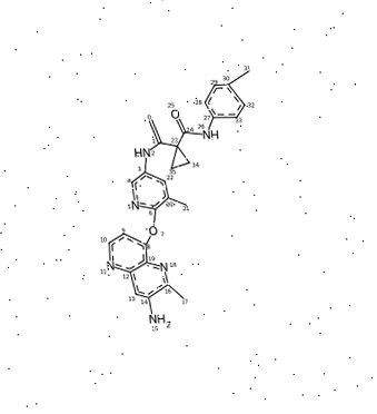 C=C(Nc1cnc(Oc2ccnc3cc(N)c(C)nc23)c(C)c1)C1(C(=O)Nc2ccc(C)cc2)CC1